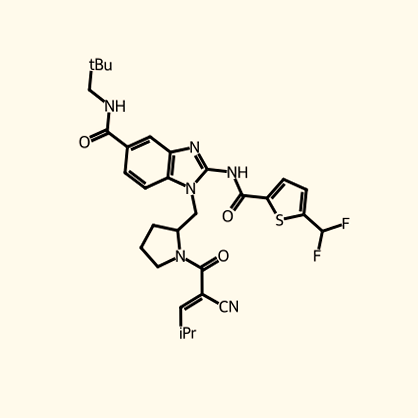 CC(C)C=C(C#N)C(=O)N1CCCC1Cn1c(NC(=O)c2ccc(C(F)F)s2)nc2cc(C(=O)NCC(C)(C)C)ccc21